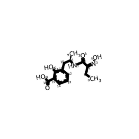 CC/C(=N/O)C(=O)N[C@H](C)Cc1cccc(C(=O)O)c1O